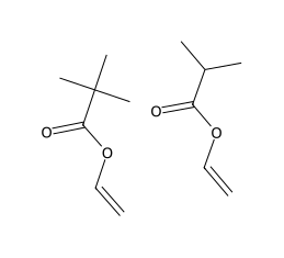 C=COC(=O)C(C)(C)C.C=COC(=O)C(C)C